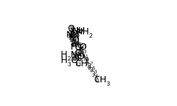 CCCCCCCCCCCCCCC(OC(=O)[C@@H](N)[C@@H](C)CC)C(=O)OC[C@H]1O[C@@H](n2cnc3c(=O)[nH]c(N)nc32)CC1F